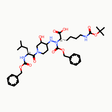 CC(C)C[C@H](NC(=O)OCc1ccccc1)C(=O)N1CCC(NN(C(=O)OCc2ccccc2)[C@@H](CCCCNC(=O)OC(C)(C)C)C(=O)O)C(O)C1